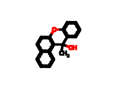 CC1(O)c2ccccc2Oc2ccc3ccccc3c21